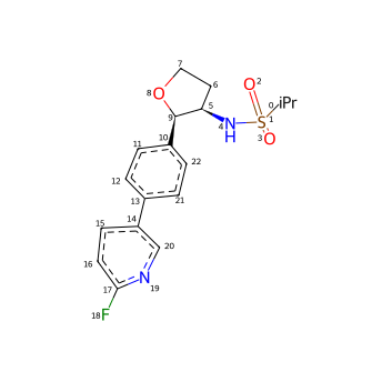 CC(C)S(=O)(=O)N[C@@H]1CCO[C@@H]1c1ccc(-c2ccc(F)nc2)cc1